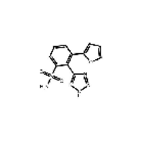 NS(=O)(=O)c1cccc(-c2ccco2)c1-c1nn[nH]n1